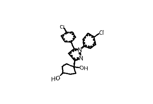 OC1CCC(O)(c2cc(-c3ccc(Cl)cc3)n(-c3ccc(Cl)cc3)n2)CC1